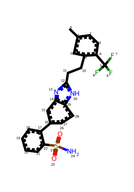 Cc1ccc(C(F)(F)F)c(CCc2nc3cc(-c4ccccc4S(N)(=O)=O)ccc3[nH]2)c1